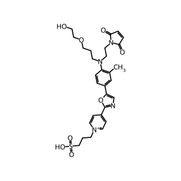 Cc1cc(-c2cnc(-c3cc[n+](CCCS(=O)(=O)O)cc3)o2)ccc1N(CCCOCCO)CCN1C(=O)C=CC1=O